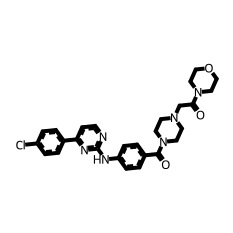 O=C(CN1CCN(C(=O)c2ccc(Nc3nccc(-c4ccc(Cl)cc4)n3)cc2)CC1)N1CCOCC1